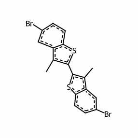 Cc1c(-c2sc3ccc(Br)cc3c2C)sc2ccc(Br)cc12